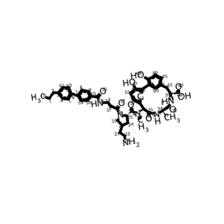 CCCc1ccc(-c2ccc(C(=O)NCCC(=O)N3CC(CCN)C[C@H]3C(=O)N(C)[C@@H]3C(=O)N[C@@H](C)C(=O)N[C@H](C(=O)O)Cc4ccc(O)c(c4)-c4cc3ccc4O)cc2)cc1